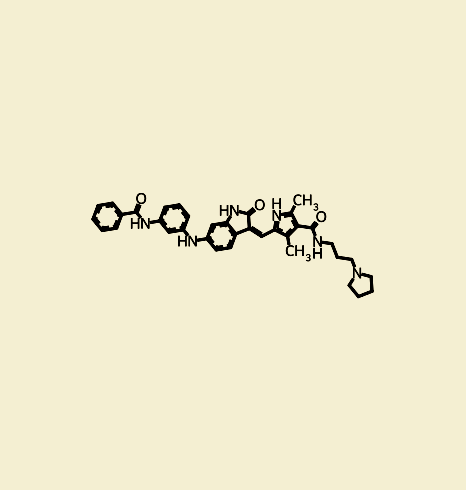 Cc1[nH]c(C=C2C(=O)Nc3cc(Nc4cccc(NC(=O)c5ccccc5)c4)ccc32)c(C)c1C(=O)NCCCN1CCCC1